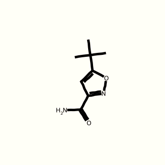 CC(C)(C)c1cc(C(N)=O)no1